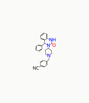 N#Cc1ccc(CN2CCC(N3C(=O)Nc4ccccc4C3c3ccccc3)CC2)cc1